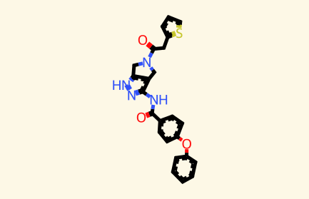 O=C(Nc1n[nH]c2c1CN(C(=O)Cc1cccs1)C2)c1ccc(Oc2ccccc2)cc1